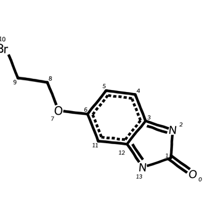 O=C1N=c2ccc(OCCBr)cc2=N1